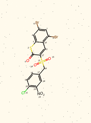 O=c1sc2cc(Br)cc(Br)c2cc1S(=O)(=O)Cc1ccc(Cl)c([N+](=O)[O-])c1